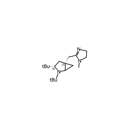 CN1CCN=C1C[C@]12CC1N(C(C)(C)C)[C@H](C(C)(C)C)C2